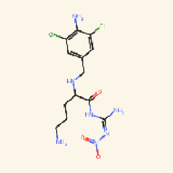 NCCCC(NCc1cc(Cl)c(N)c(Cl)c1)C(=O)N/C(N)=N\[N+](=O)[O-]